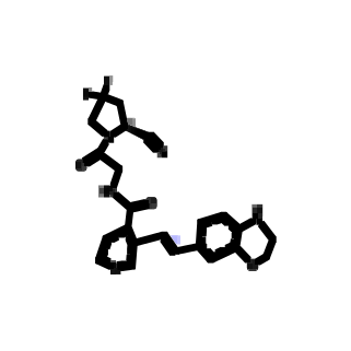 N#C[C@@H]1CC(F)(F)CN1C(=O)CNC(=O)c1ccncc1/C=C/c1ccc2c(c1)OCCN2